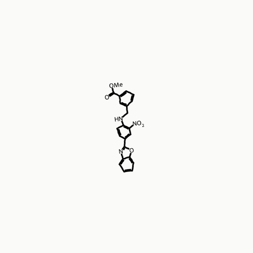 COC(=O)c1cccc(CNc2ccc(-c3nc4ccccc4o3)cc2[N+](=O)[O-])c1